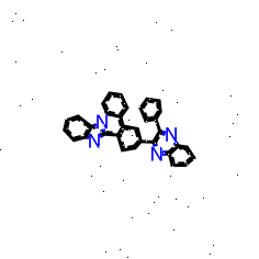 c1ccc(-c2nc3ccccc3nc2-c2ccc3c(c2)c2ccccc2n2c4ccccc4nc32)cc1